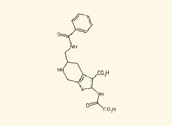 O=C(O)C(=O)Nc1sc2c(c1C(=O)O)CC(CNC(=O)c1ccccc1)NC2